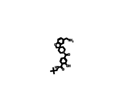 CC(C)(C)CNC(=O)c1ccc(C(=O)N2CCC3(CC2)COc2ccc(CN)cc23)cc1O